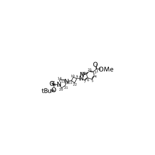 COC(=O)c1ccc2cn(C3CC(N4CCN(C(=O)OC(C)(C)C)CC4)C3)nc2c1